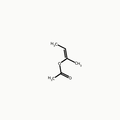 CC=C(C)OC(C)=O